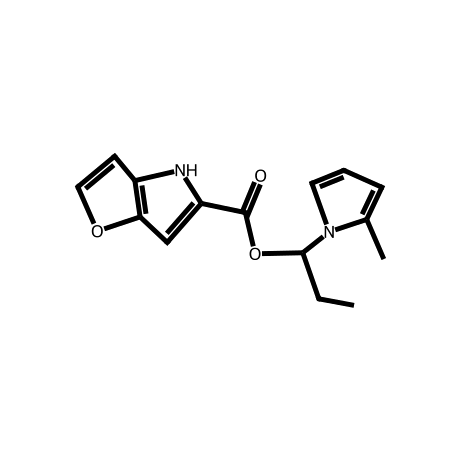 CCC(OC(=O)c1cc2occc2[nH]1)n1cccc1C